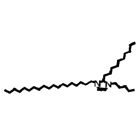 CCCCCCCCCCCCCCCCCCCN1C=CN(CCCCC)C1CCCCCCCCCC